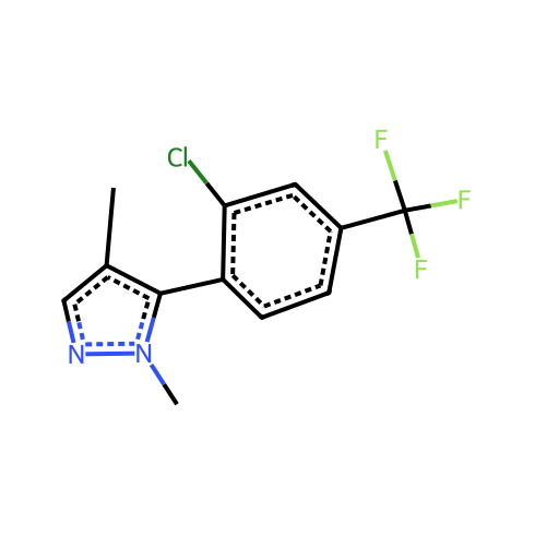 Cc1cnn(C)c1-c1ccc(C(F)(F)F)cc1Cl